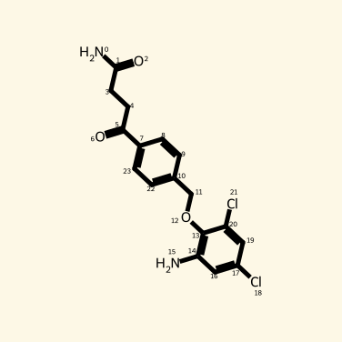 NC(=O)CCC(=O)c1ccc(COc2c(N)cc(Cl)cc2Cl)cc1